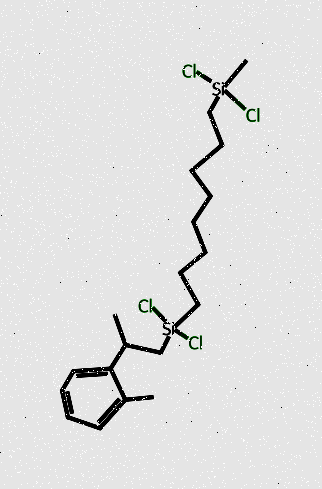 Cc1ccccc1C(C)C[Si](Cl)(Cl)CCCCCCCC[Si](C)(Cl)Cl